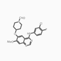 COc1cc2ncnc(Nc3ccc(F)c(Cl)c3)c2cc1OC1CCN(C=O)CC1